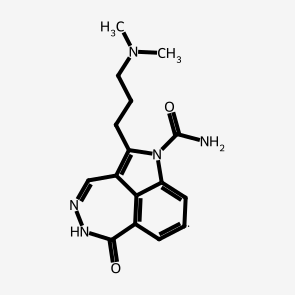 CN(C)CCCc1c2c3c(c[c]cc3n1C(N)=O)C(=O)NN=C2